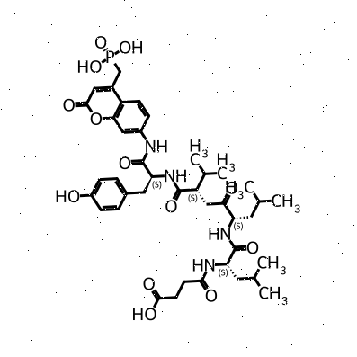 CC(C)C[C@H](NC(=O)[C@H](CC(C)C)NC(=O)CCC(=O)O)C(=O)C[C@H](C(=O)N[C@@H](Cc1ccc(O)cc1)C(=O)Nc1ccc2c(CP(=O)(O)O)cc(=O)oc2c1)C(C)C